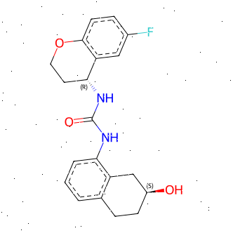 O=C(Nc1cccc2c1C[C@@H](O)CC2)N[C@@H]1CCOc2ccc(F)cc21